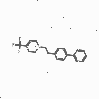 FC(F)(F)C1=CCN(CCc2ccc(-c3ccccc3)cc2)CC1